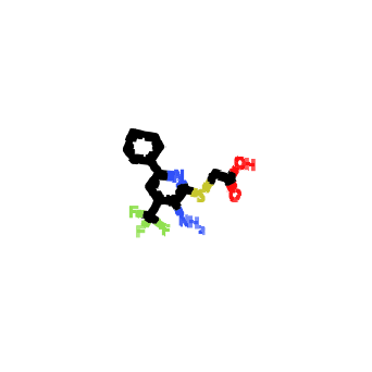 Nc1c(C(F)(F)F)cc(-c2ccccc2)nc1SCC(=O)O